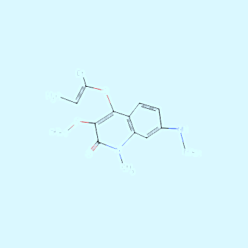 CC=C(CC)Oc1c(OCCCCCCCC)c(=O)n(C)c2cc(NCCCCCCCC)ccc12